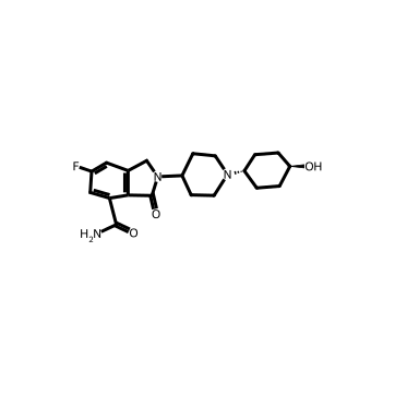 NC(=O)c1cc(F)cc2c1C(=O)N(C1CCN([C@H]3CC[C@H](O)CC3)CC1)C2